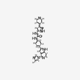 Cc1cn(-c2nccc3[nH]c(-c4ccc(NC(=O)Nc5cc(-c6ccncc6)n[nH]5)cc4)cc23)cn1